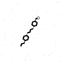 CCC[C@H]1CC[C@H](CCCC[C@H]2CC[C@H](C=O)CC2)CC1